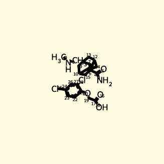 CNC.NC(=O)C12CC3CC(CC(C3)C1)C2.O=C(O)COc1ccc(Cl)cc1Cl